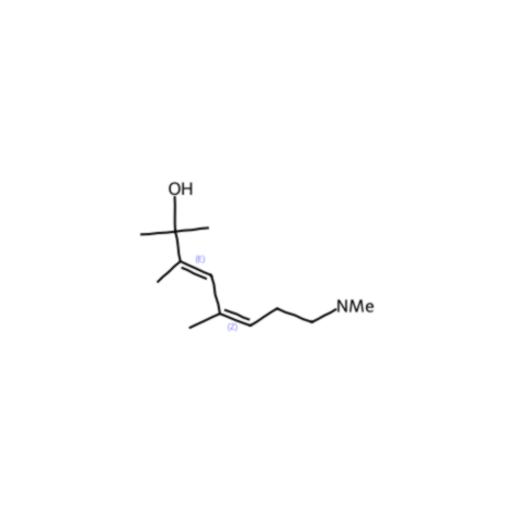 CNCC/C=C(C)\C=C(/C)C(C)(C)O